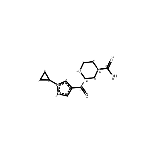 O=C(c1cnn(C2CC2)c1)[C@H]1CN(C(=O)O)CCO1